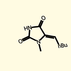 CCCCC=C1C(=O)NC(=O)N1C